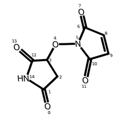 O=C1CC(ON2C(=O)C=CC2=O)C(=O)N1